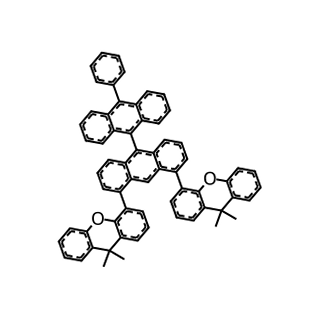 CC1(C)c2ccccc2Oc2c(-c3cccc4c(-c5c6ccccc6c(-c6ccccc6)c6ccccc56)c5cccc(-c6cccc7c6Oc6ccccc6C7(C)C)c5cc34)cccc21